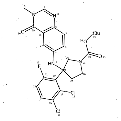 Cn1cnc2ccc(NC3(c4c(F)ccc(Cl)c4Cl)CCN(C(=O)OC(C)(C)C)C3)cc2c1=O